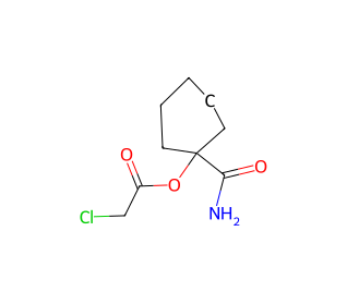 NC(=O)C1(OC(=O)CCl)CCCCC1